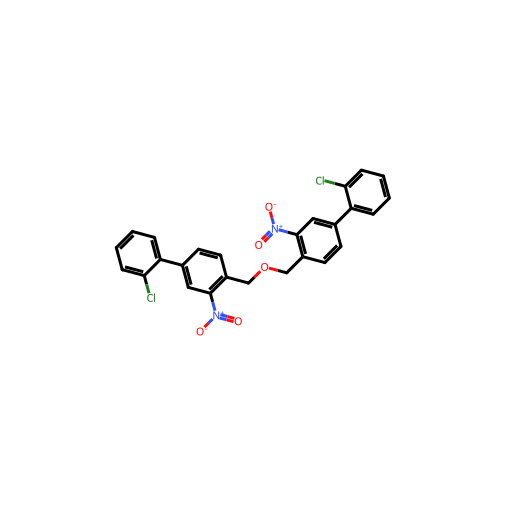 O=[N+]([O-])c1cc(-c2ccccc2Cl)ccc1COCc1ccc(-c2ccccc2Cl)cc1[N+](=O)[O-]